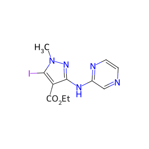 CCOC(=O)c1c(Nc2cnccn2)nn(C)c1I